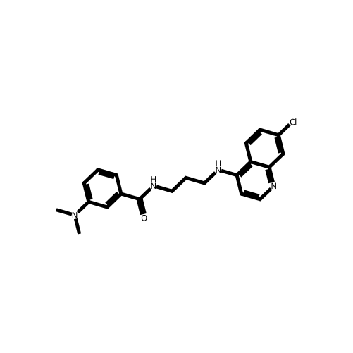 CN(C)c1cccc(C(=O)NCCCNc2ccnc3cc(Cl)ccc23)c1